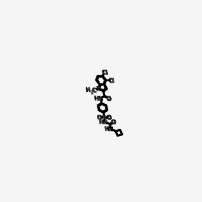 Cn1c(C(=O)Nc2ccc(S(=O)(=O)NC(=O)NC3CCC3)cc2)cc2c(Cl)c(Cl)ccc21